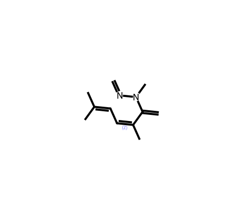 C=NN(C)C(=C)/C(C)=C\C=C(C)C